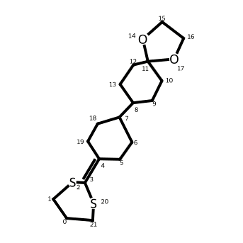 C1CSC(=C2CCC(C3CCC4(CC3)OCCO4)CC2)SC1